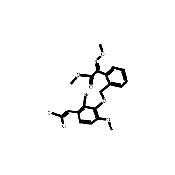 CO/N=C(/C(=O)OC)c1ccccc1COc1c(OC)ccc(C=C(Cl)Cl)c1Br